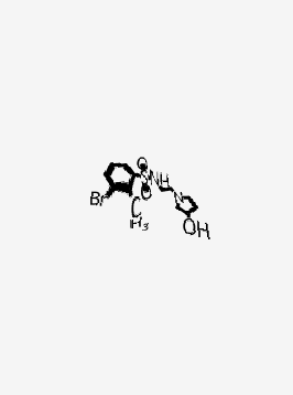 Cc1c(Br)cccc1S(=O)(=O)NCCN1CCC(O)C1